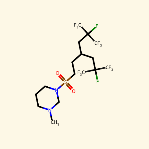 CN1CCCN(S(=O)(=O)CCC(CC(F)(C(F)(F)F)C(F)(F)F)CC(F)(C(F)(F)F)C(F)(F)F)C1